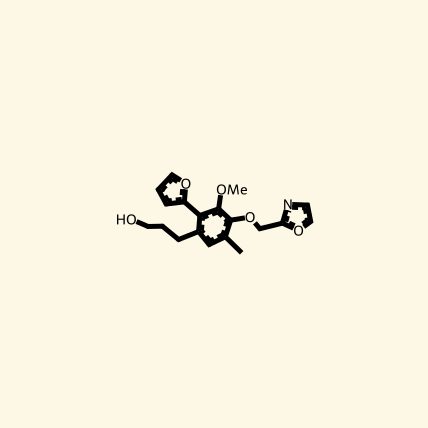 COc1c(OCc2ncco2)c(C)cc(CCCO)c1-c1ccco1